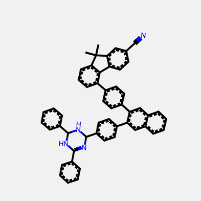 CC1(C)c2cc(C#N)ccc2-c2c(-c3ccc(-c4cc5ccccc5cc4-c4ccc(C5N=C(c6ccccc6)NC(c6ccccc6)N5)cc4)cc3)cccc21